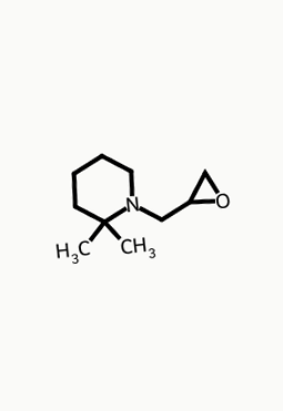 CC1(C)CCCCN1CC1CO1